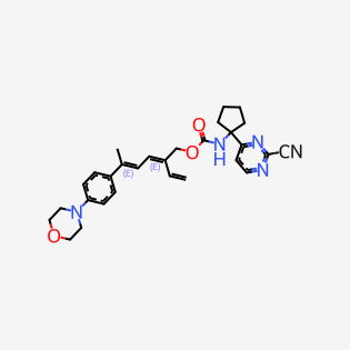 C=C/C(=C\C=C(/C)c1ccc(N2CCOCC2)cc1)COC(=O)NC1(c2ccnc(C#N)n2)CCCC1